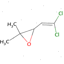 CC1(C)OC1C=C(Cl)Cl